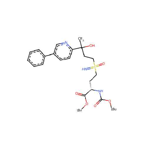 CC(C)(C)OC(=O)N[C@@H](CCS(=N)(=O)CCC(O)(c1ccc(-c2ccccc2)cn1)C(F)(F)F)C(=O)OC(C)(C)C